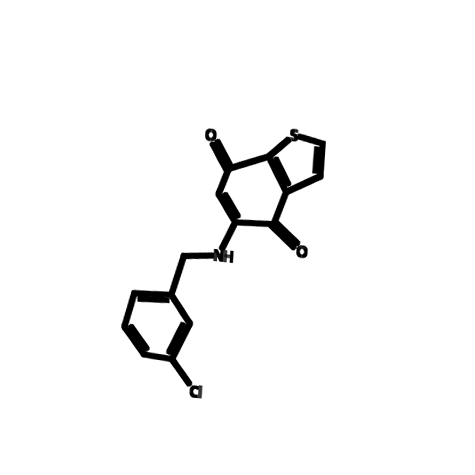 O=C1C(NCc2cccc(Cl)c2)=CC(=O)c2sccc21